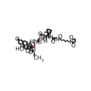 CCC[C@@H]1O[C@@H]2C[C@H]3[C@@H]4CCC5=CC(=O)C=C[C@]5(C)[C@H]4[C@@H](O)C[C@]3(C)[C@]2(C(=O)COCNC(=O)CNC(=O)[C@H](Cc2ccccc2)NC(=O)CNC(=O)CNC(=O)CCCCCN2C(=O)C=CC2=O)O1